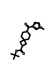 C[n+]1ccn(C(=O)N2CCC3(CC2)CN(C(=O)OC(C)(C)C)C3)c1